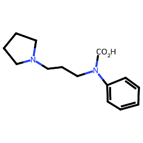 O=C(O)N(CCCN1CCCC1)c1ccccc1